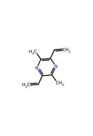 C=Cc1nc(C)c(C=C)nc1C